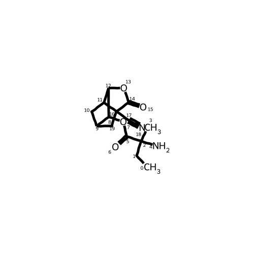 CCC(C)(N)C(=O)OC1C2CC3C1OC(=O)C3(C#N)C2